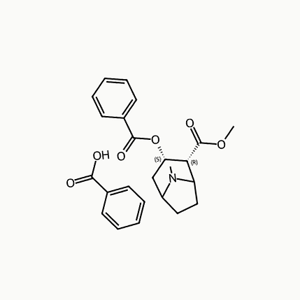 COC(=O)[C@@H]1C2CCC(C[C@@H]1OC(=O)c1ccccc1)N2C.O=C(O)c1ccccc1